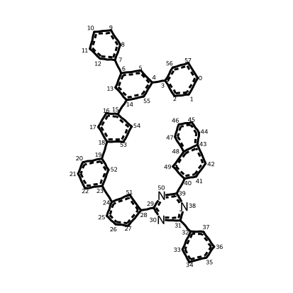 c1ccc(-c2cc(-c3ccccc3)cc(-c3ccc(-c4cccc(-c5cccc(-c6nc(-c7ccccc7)nc(-c7ccc8ccccc8c7)n6)c5)c4)cc3)c2)cc1